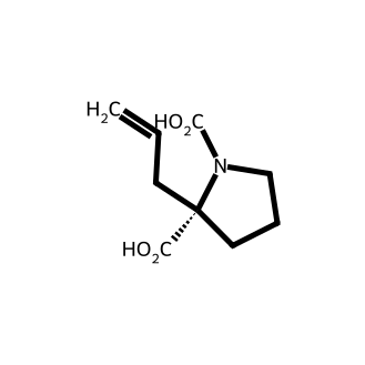 C=CC[C@]1(C(=O)O)CCCN1C(=O)O